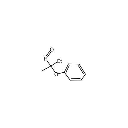 CCC(C)(Oc1ccccc1)P=O